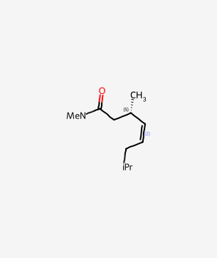 CNC(=O)C[C@H](C)/C=C\CC(C)C